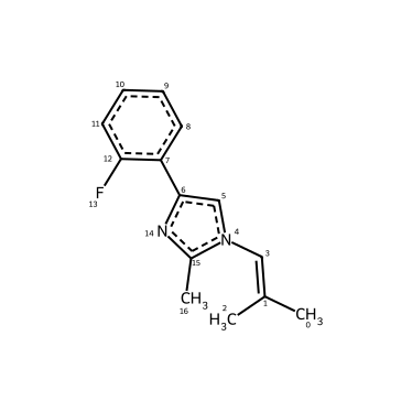 CC(C)=Cn1cc(-c2ccccc2F)nc1C